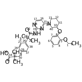 CCOc1ccccc1O[C@@H]1CCCN(c2ccnc(NC(=O)C(C)(C)c3ccc(CC(C)(C)C(=O)O)cc3)n2)C1